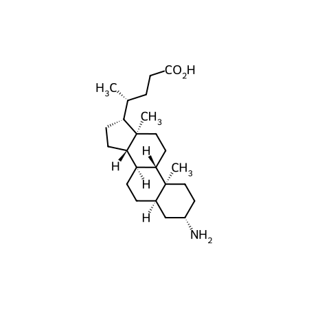 C[C@H](CCC(=O)O)[C@H]1CC[C@H]2[C@@H]3CC[C@@H]4C[C@@H](N)CC[C@]4(C)[C@H]3CC[C@]12C